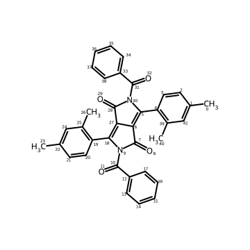 Cc1ccc(C2=C3C(=O)N(C(=O)c4ccccc4)C(c4ccc(C)cc4C)=C3C(=O)N2C(=O)c2ccccc2)c(C)c1